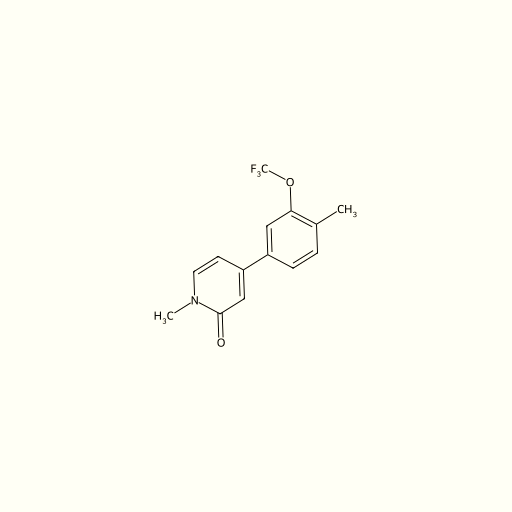 Cc1ccc(-c2ccn(C)c(=O)c2)cc1OC(F)(F)F